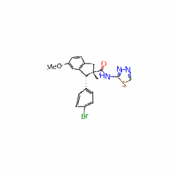 COc1ccc2c(c1)[C@@H](c1ccc(Br)cc1)[C@@](C)(C(=O)Nc1nncs1)C2